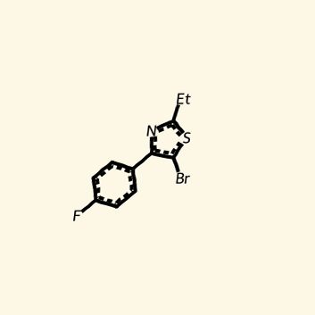 CCc1nc(-c2ccc(F)cc2)c(Br)s1